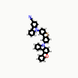 N#Cc1ccc2c(c1)c1ccccc1n2-c1ccc2sc3ccc(-n4c5ccccc5c5c6c(ccc54)oc4ccccc46)cc3c2c1